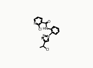 CC(Cl)c1cn(-c2ccccc2NC(=O)c2cccnc2Cl)nn1